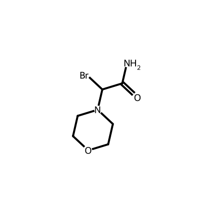 NC(=O)C(Br)N1CCOCC1